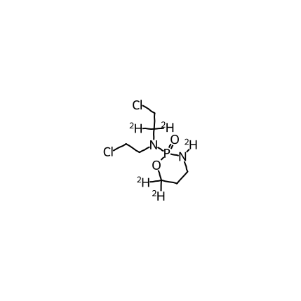 [2H]N1CCC([2H])([2H])OP1(=O)N(CCCl)C([2H])([2H])CCl